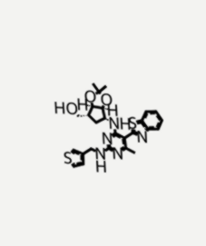 Cc1nc(NCc2ccsc2)nc(N[C@@H]2C[C@H](CO)[C@H]3OC(C)(C)O[C@H]32)c1-c1nc2ccccc2s1